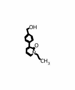 CCCn1cccc(-c2ccc(CO)cc2)c1=O